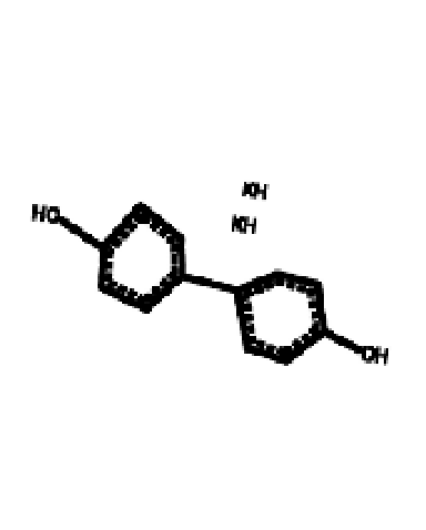 Oc1ccc(-c2ccc(O)cc2)cc1.[KH].[KH]